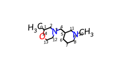 CC1CN(CC2CCCN(C)C2)CCO1